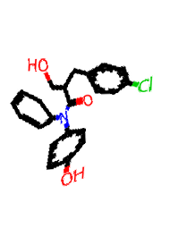 O=C(C(CO)Cc1ccc(Cl)cc1)N(c1ccc(O)cc1)C1C=CC=CC1